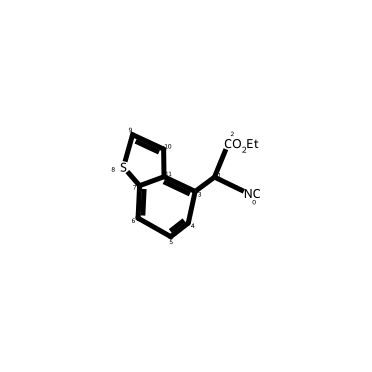 [C-]#[N+]C(C(=O)OCC)c1cccc2sccc12